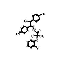 CC(c1ccc(Cl)cc1)C(CNC(=O)C(C)(C)Oc1ccccc1Cl)c1ccc(Cl)cc1